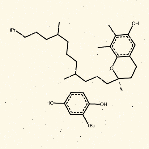 CC(C)(C)c1cc(O)ccc1O.Cc1c(O)cc2c(c1C)O[C@](C)(CCCC(C)CCCC(C)CCCC(C)C)CC2